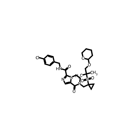 CC(C)(COC1CCCCO1)S(=O)(=O)C1(CN2CCn3c(cnc3C(=O)NCc3ccc(Cl)cc3)C2=O)CC1